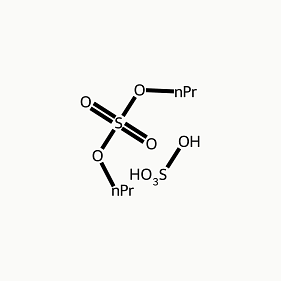 CCCOS(=O)(=O)OCCC.O=S(=O)(O)O